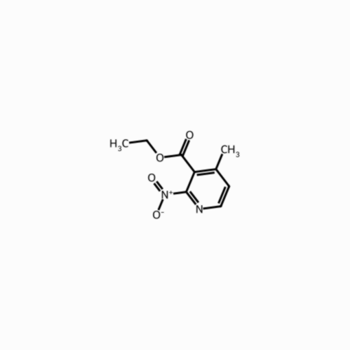 CCOC(=O)c1c(C)ccnc1[N+](=O)[O-]